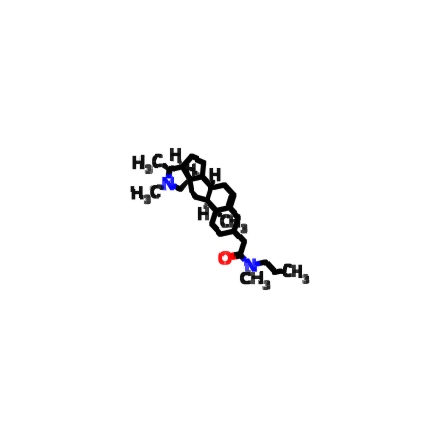 CCCN(C)C(=O)CC1CC[C@@]2(C)C(=CC[C@H]3[C@@H]4CC[C@@H]5[C@H](C)N(C)C[C@@]54CC[C@@H]32)C1